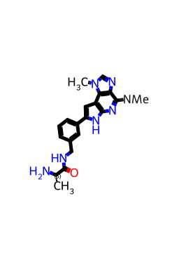 CNc1nc2[nH]c(-c3cccc(CNC(=O)[C@H](C)N)c3)cc2c2c1ncn2C